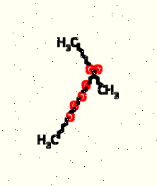 CCCCCCCCOC(=O)C(CCCC)CCOCCOCCOCCOCCCCCCC